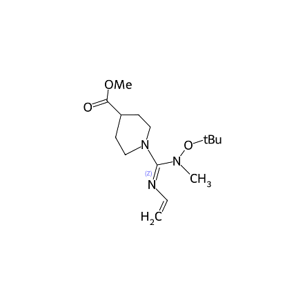 C=C/N=C(/N1CCC(C(=O)OC)CC1)N(C)OC(C)(C)C